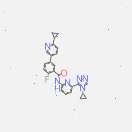 O=C(Nc1cccc(-c2nncn2C2CC2)n1)c1cc(-c2ccc(C3CC3)nc2)ccc1F